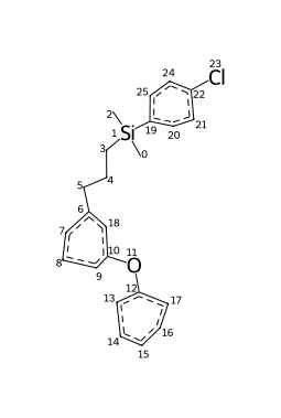 C[Si](C)(CCCc1cccc(Oc2ccccc2)c1)c1ccc(Cl)cc1